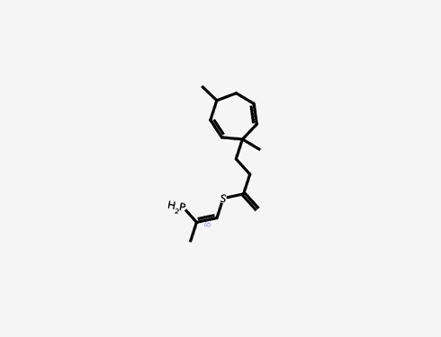 C=C(CCC1(C)C=CCC(C)C=C1)S/C=C(/C)P